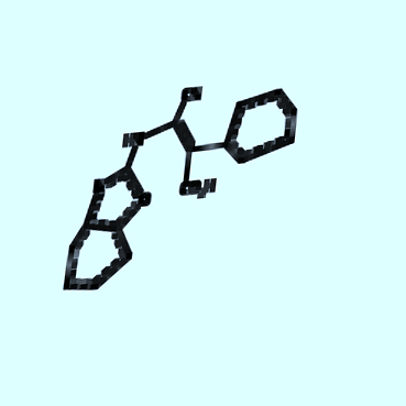 N#CC(Nc1nc2ccccc2o1)=C(C(=O)O)c1ccccc1